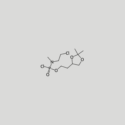 CN(CCCl)P(=O)(Cl)OCCC1COC(C)(C)O1